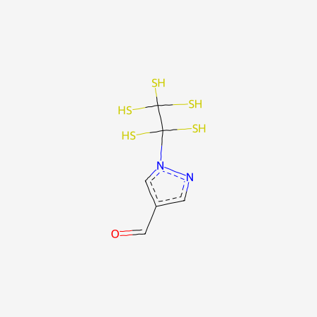 O=Cc1cnn(C(S)(S)C(S)(S)S)c1